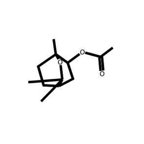 CC(=O)OC1CC2CCC1(C)OC2(C)C